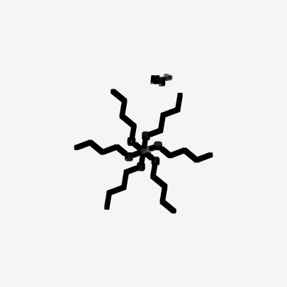 CCCC[O][Ti-2]([O]CCCC)([O]CCCC)([O]CCCC)([O]CCCC)[O]CCCC.[Mg+2]